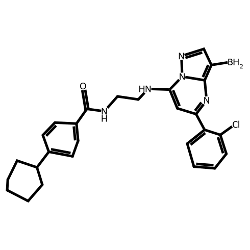 Bc1cnn2c(NCCNC(=O)c3ccc(C4CCCCC4)cc3)cc(-c3ccccc3Cl)nc12